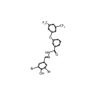 O=C(NN=Cc1cc(Br)c(O)c(Br)c1)c1cccc(Oc2cc(C(F)(F)F)cc(C(F)(F)F)c2)c1